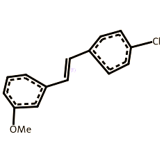 COc1cccc(/C=C/c2ccc(Cl)cc2)c1